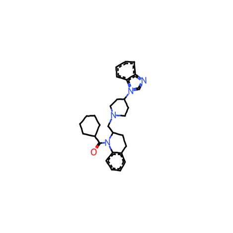 O=C(C1CCCCC1)N1c2ccccc2CCC1CN1CCC(n2cnc3ccccc32)CC1